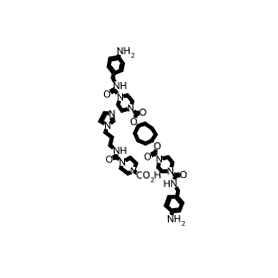 Nc1ccc(CNC(=O)N2CCN(C(=O)O[C@H]3CCC[C@@H](OC(=O)N4CCN(C(=O)NCc5ccc(N)cc5)CC4)CCC3)CC2)cc1.O=C(O)N1CCN(C(=O)NCCCn2ccnc2)CC1